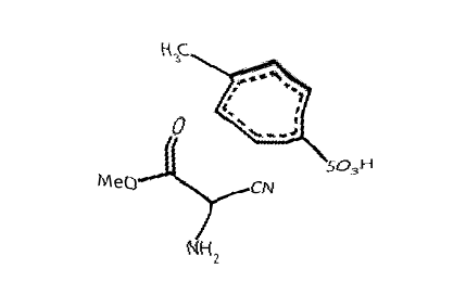 COC(=O)C(N)C#N.Cc1ccc(S(=O)(=O)O)cc1